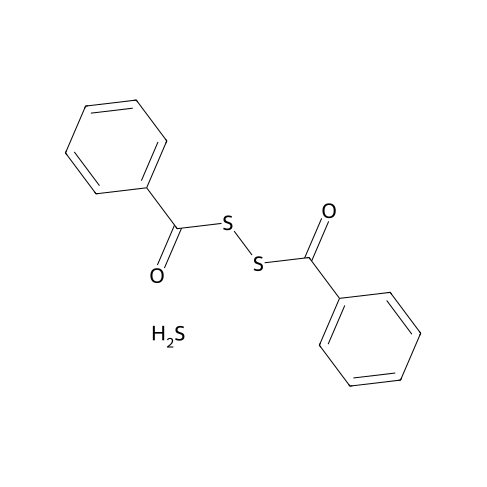 O=C(SSC(=O)c1ccccc1)c1ccccc1.S